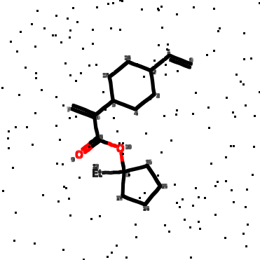 C=CC1CCC(C(=C)C(=O)OC2(CC)CCCC2)CC1